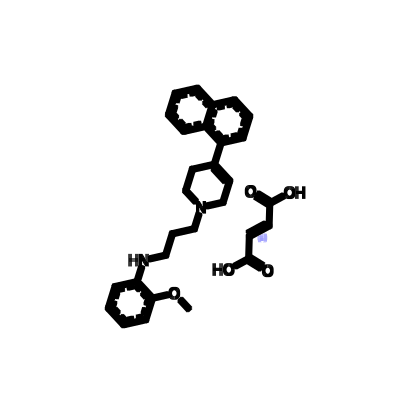 COc1ccccc1NCCCN1CC=C(c2cccc3ccccc23)CC1.O=C(O)/C=C/C(=O)O